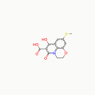 CSc1cc2c3c(c1)c(O)c(C(=O)O)c(=O)n3CCO2